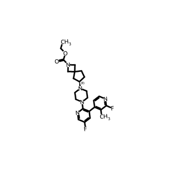 CCOC(=O)N1CC2(CC[C@@H](N3CCN(c4ncc(F)cc4-c4ccnc(F)c4C)CC3)C2)C1